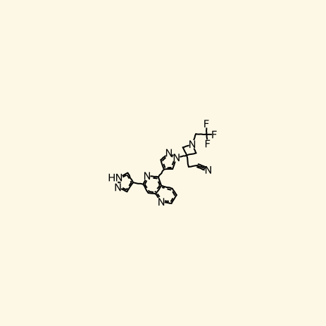 N#CCC1(n2cc(-c3nc(-c4cn[nH]c4)cc4ncccc34)cn2)CN(CC(F)(F)F)C1